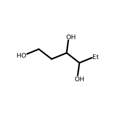 CCC(O)C(O)CCO